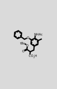 CC(=O)Nc1c(C)cc(CC(C(=O)O)C(=O)OC(C)(C)C)cc1OCc1ccccc1